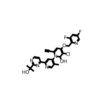 C#CC1=CC(OCc2ncc(F)cc2F)=C(Cl)C(O)N1c1cc(-c2ccnc(C(C)(C)O)n2)ncc1C